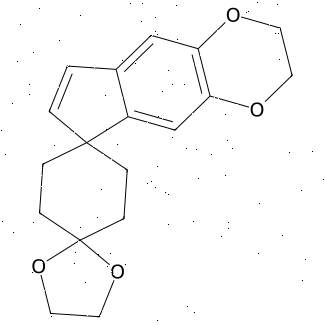 C1=CC2(CCC3(CC2)OCCO3)c2cc3c(cc21)OCCO3